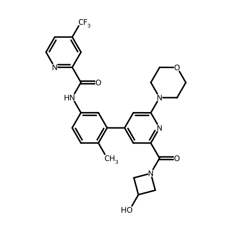 Cc1ccc(NC(=O)c2cc(C(F)(F)F)ccn2)cc1-c1cc(C(=O)N2CC(O)C2)nc(N2CCOCC2)c1